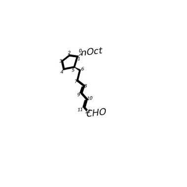 CCCCCCCC[C@H]1CCC[C@@H]1CCC=CC=CC=O